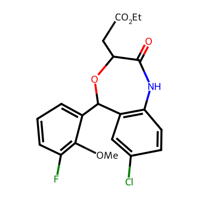 CCOC(=O)CC1OC(c2cccc(F)c2OC)c2cc(Cl)ccc2NC1=O